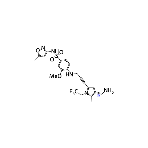 C=c1/c(=C/N)cc(C#CCNc2ccc(S(=O)(=O)Nc3cc(C)on3)cc2OC)n1CC(F)(F)F